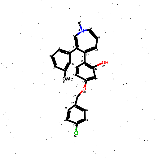 COc1cccc(C2=CN(C)C=CC=C2c2ccc(OCc3ccc(Cl)cc3)cc2O)c1